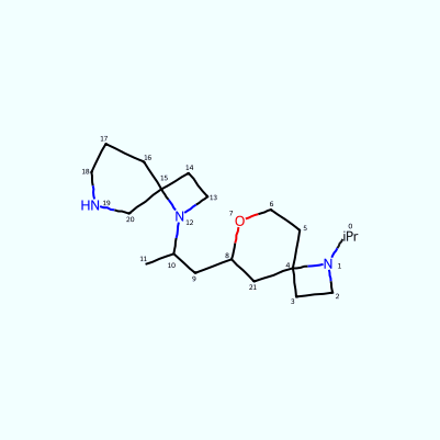 CC(C)N1CCC12CCOC(CC(C)N1CCC13CCCNC3)C2